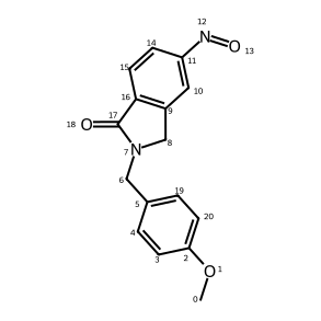 COc1ccc(CN2Cc3cc(N=O)ccc3C2=O)cc1